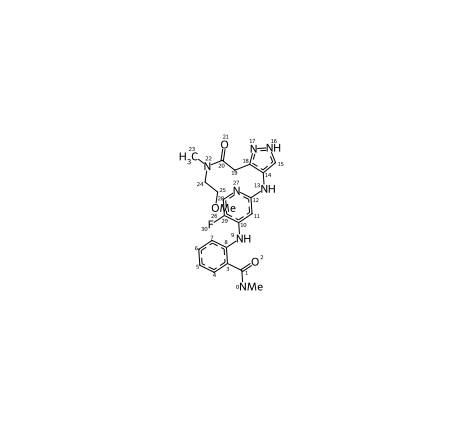 CNC(=O)c1ccccc1Nc1cc(Nc2c[nH]nc2CC(=O)N(C)CCOC)ncc1F